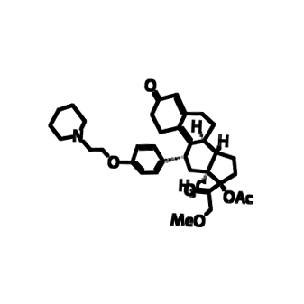 COCC(=O)[C@@]1(OC(C)=O)CC[C@H]2[C@@H]3CCC4=CC(=O)CCC4=C3[C@@H](c3ccc(OCCN4CCCCC4)cc3)C[C@@]21C